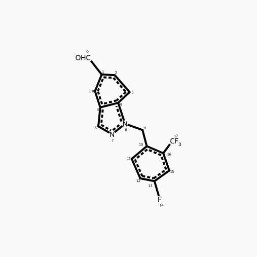 O=Cc1ccc2c(cnn2Cc2ccc(F)cc2C(F)(F)F)c1